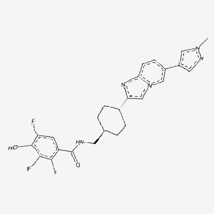 Cn1cc(-c2ccc3nc([C@H]4CC[C@H](CNC(=O)c5cc(F)c(O)c(F)c5F)CC4)cn3c2)cn1